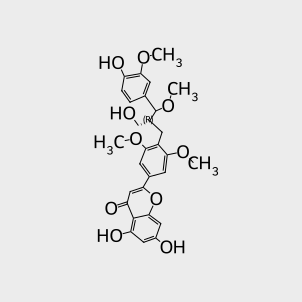 COc1cc(C(OC)[C@@H](CO)Cc2c(OC)cc(-c3cc(=O)c4c(O)cc(O)cc4o3)cc2OC)ccc1O